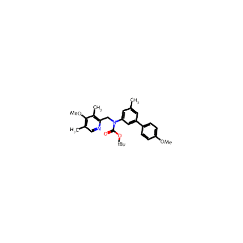 COc1ccc(-c2cc(C)cc(N(Cc3ncc(C)c(OC)c3C)C(=O)OC(C)(C)C)c2)cc1